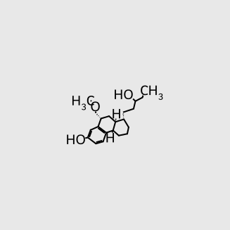 CCC(O)CC[C@@H]1CCC[C@@H]2c3ccc(O)cc3[C@H](COC)C[C@@H]12